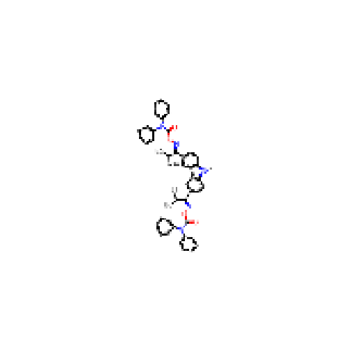 CCCCC(CC)/C(=N\OC(=O)N(c1ccccc1)c1ccccc1)c1ccc2c(c1)c1cc(/C(=N/OC(=O)N(c3ccccc3)c3ccccc3)C(CC)CCCC)ccc1n2C